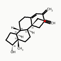 C#CC[C@]12CCC(=C)C=C1CC[C@@H]1[C@@H]2CC[C@]2(C)[C@H](O)CC[C@@H]12